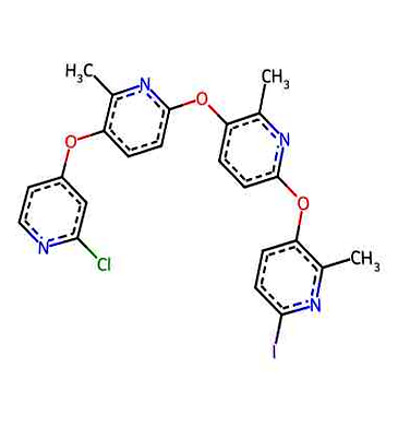 Cc1nc(Oc2ccc(Oc3ccc(I)nc3C)nc2C)ccc1Oc1ccnc(Cl)c1